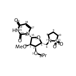 CO[C@@H]1[C@H](OC(C)C)[C@@H](CN2CCCS2(=O)=O)O[C@H]1n1ccc(=O)[nH]c1=O